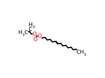 CCCCCCCC/C=C/CCCCCOC(=O)OCC(C)C